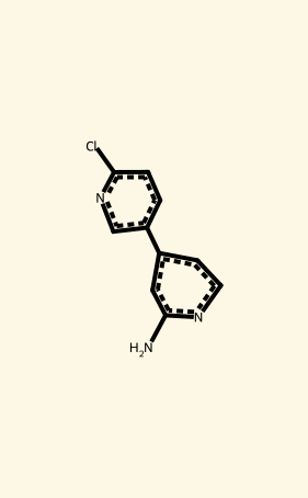 Nc1cc(-c2ccc(Cl)nc2)ccn1